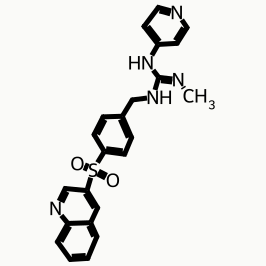 C/N=C(\NCc1ccc(S(=O)(=O)c2cnc3ccccc3c2)cc1)Nc1ccncc1